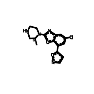 C[C@H]1CNCCN1c1nc2cc(Cl)cc(-c3ccno3)c2o1